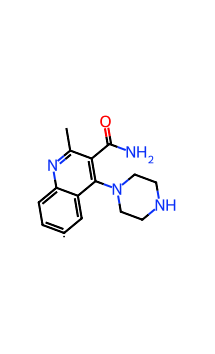 Cc1nc2cc[c]cc2c(N2CCNCC2)c1C(N)=O